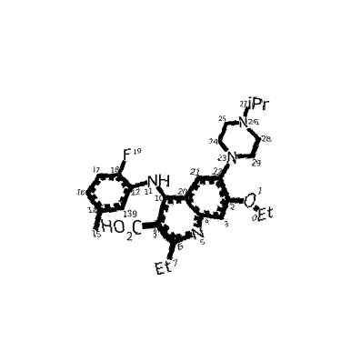 CCOc1cc2nc(CC)c(C(=O)O)c(Nc3cc(C)ccc3F)c2cc1N1CCN(C(C)C)CC1